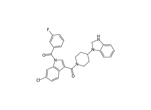 O=C(c1cn(C(=O)c2cccc(F)c2)c2cc(Cl)ccc12)N1CCC(N2[CH]Nc3ccccc32)CC1